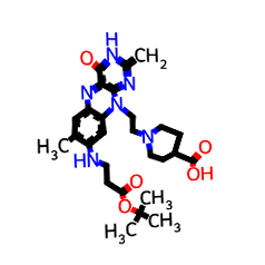 C=c1nc2c(c(=O)[nH]1)=Nc1cc(C)c(NCCC(=O)OC(C)(C)C)cc1N2CCN1CCC(C(=O)O)CC1